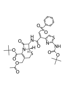 CC(=O)OCC1=C(C(=O)OC(C)(C)C)N2C(=O)C(NC(=O)C(=CS(=O)(=O)c3ccccc3)c3csc(NC(=O)OC(C)(C)C)n3)[C@@H]2SC1